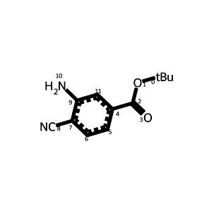 CC(C)(C)OC(=O)c1ccc(C#N)c(N)c1